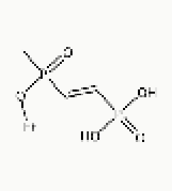 CCOP(C)(=O)C=CP(=O)(O)O